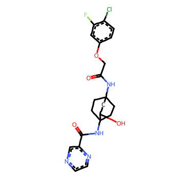 O=C(COc1ccc(Cl)c(F)c1)NC12CCC(NC(=O)c3cnccn3)(CC1)C(O)C2